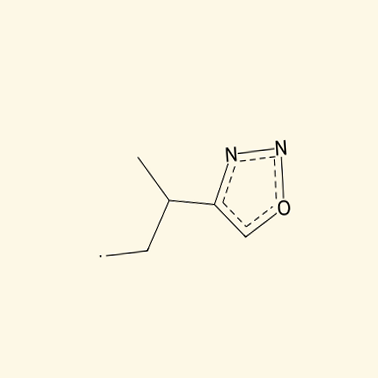 [CH2]CC(C)c1conn1